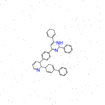 C1=CC(c2ccc(C3=NC(c4ccccc4)NC(C4=CCCC=C4)=C3)cc2)C(C2C=CC(c3ccccc3)=CC2)N=C1